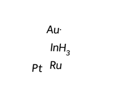 [Au].[InH3].[Pt].[Ru]